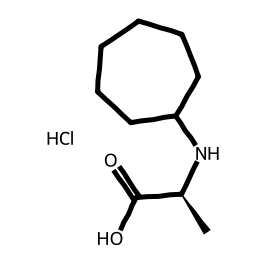 C[C@H](NC1CCCCCC1)C(=O)O.Cl